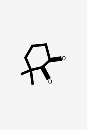 CC1(C)[C]CCC(=O)C1=O